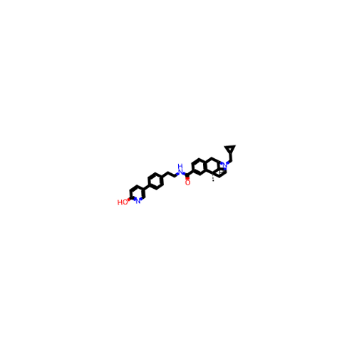 C[C@H]1C2Cc3ccc(C(=O)NCCc4ccc(-c5ccc(O)nc5)cc4)cc3[C@]1(C)CCN2CC1CC1